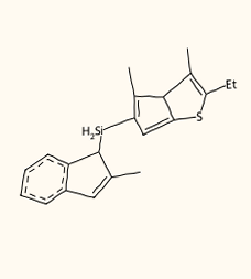 CCC1=C(C)C2C(=CC([SiH2]C3C(C)=Cc4ccccc43)=C2C)S1